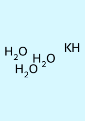 O.O.O.[KH]